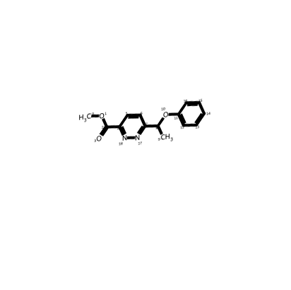 COC(=O)c1ccc(C(C)Oc2ccccc2)nn1